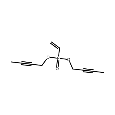 C=CP(=O)(OCC#CC)OCC#CC